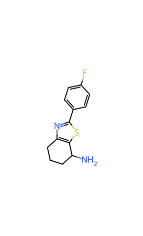 NC1CCCc2nc(-c3ccc(F)cc3)sc21